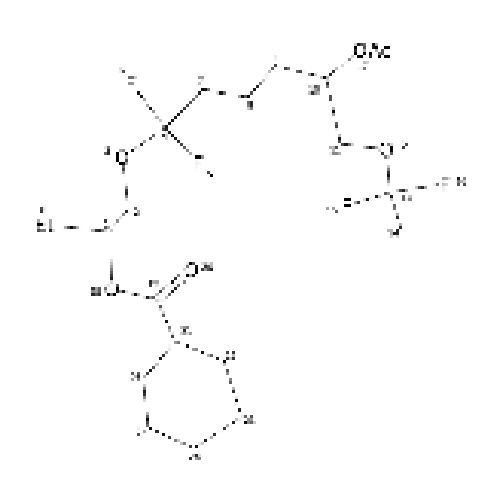 CCC(COC(F)(F)CCCC(COC(C)(F)F)OC(C)=O)OC(=O)C1CCCCC1